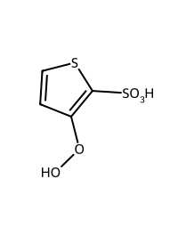 O=S(=O)(O)c1sccc1OO